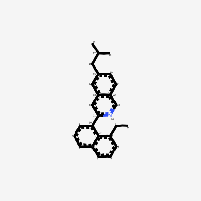 CCc1cccc2cccc(-c3cc4cc(CC(C)C)ccc4cn3)c12